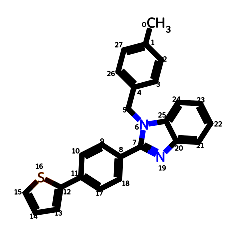 Cc1ccc(Cn2c(-c3ccc(-c4cccs4)cc3)nc3ccccc32)cc1